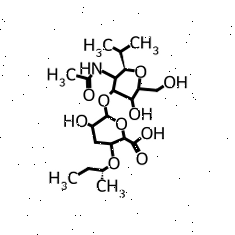 CC[C@@H](C)OC1CC(O)C(OC2C(O)C(CO)O[C@H](C(C)C)C2NC(C)=O)OC1C(=O)O